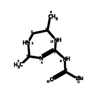 CC1CNC(C)N=C(NC(=O)C(C)(C)C)N1